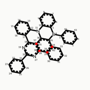 c1ccc(B2c3ccccc3N(c3ccccc3-c3nc(-c4ccccc4)nc(-c4ccccc4)n3)c3ccccc32)cc1